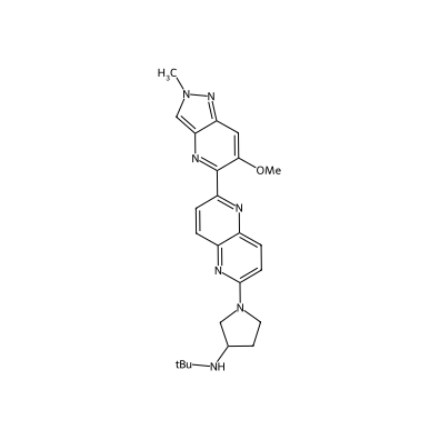 COc1cc2nn(C)cc2nc1-c1ccc2nc(N3CCC(NC(C)(C)C)C3)ccc2n1